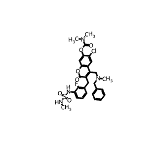 CNS(=O)(=O)Nc1cccc(Cc2c(CN(C)Cc3ccccc3)c3cc(Cl)c(OC(=O)N(C)C)cc3oc2=O)c1F